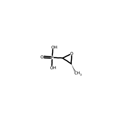 C[C@H]1OC1P(=O)(O)O